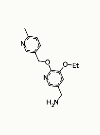 CCOc1cc(CN)cnc1OCc1ccc(C)nc1